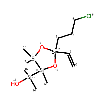 C=C[Si]1(CCCCl)O[Si](C)(C)[Si](C)([Si](C)(C)O)O1